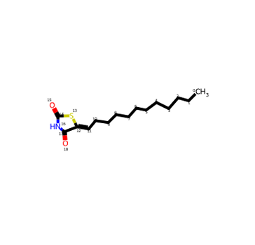 CCCCCCCCCCCC=C1SC(=O)NC1=O